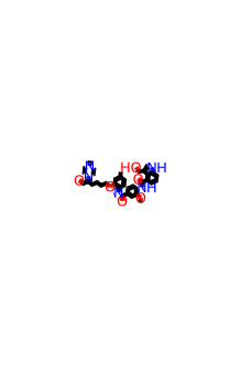 COc1cc(C(=O)N(C)c2ccc(C)cc2OCCCCC(C=O)N2CCN(C)CC2)ccc1NC(=O)c1cccc2[nH]cc(CO)c12